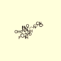 CCN(C(=O)CCCN1CCC(C#N)(c2ccccc2)CC1)C1=C(NC=O)C(c2ccc(F)cc2F)NC(=O)N1